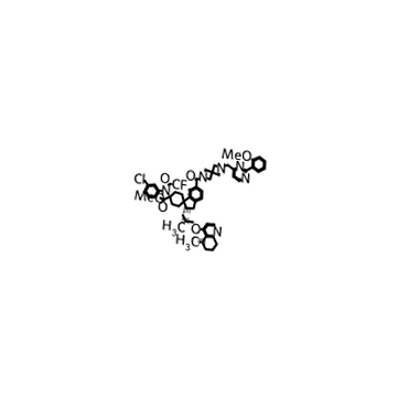 COC(=O)C1(N(C(=O)C(F)(F)F)c2cccc(Cl)c2)CCC2(CC1)c1cc(C(=O)N3CC4(CN(Cc5ccnc(-c6ccccc6OC)n5)C4)C3)ccc1C[C@@H]2C[C@@H](C)COc1ccnc2c1[C@H](C)CCC2